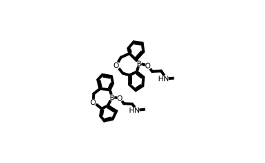 CNCCOB1c2ccccc2COCc2ccccc21.CNCCOB1c2ccccc2COc2ccccc21